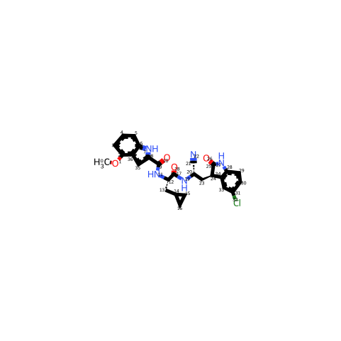 COc1cccc2[nH]c(C(=O)N[C@@H](CC3CC3)C(=O)N[C@H](C#N)C[C@H]3C(=O)Nc4ccc(Cl)cc43)cc12